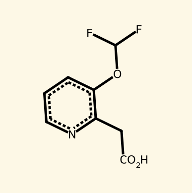 O=C(O)Cc1ncccc1OC(F)F